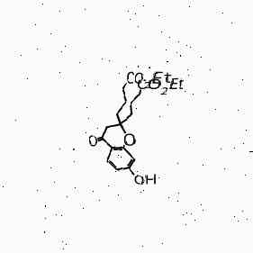 CCOC(=O)CCCC1(CCCC(=O)OCC)CC(=O)c2ccc(O)cc2O1